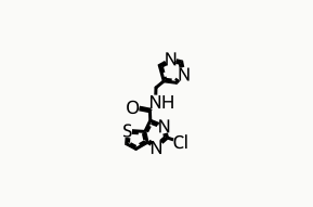 O=C(NCc1cncnc1)c1nc(Cl)nc2ccsc12